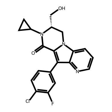 O=C1c2c(-c3ccc(Cl)c(F)c3)c3ncccc3n2C[C@@H](CO)N1C1CC1